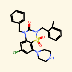 Cc1ccccc1CN1C(=O)N(Cc2ccccc2)c2cc(Cl)cc(N3CCNCC3)c2S1(=O)=O